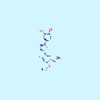 COc1cc(I)c(-c2nnc(-c3ccc(O)c(O)c3)s2)cc1OC